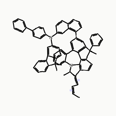 C/C=C\C=C1\c2ccc3c4c2N(c2ccccc2-c2cc(-c5cccc6ccc(N(c7ccc(-c8ccccc8)cc7)c7ccc8c(c7)-c7ccccc7C8(C)C)cc56)cc(c2-4)C3(C)c2ccccc2)C1C